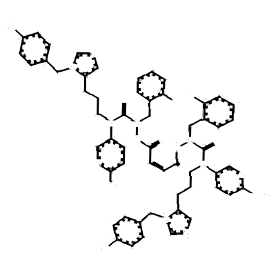 COc1ccc(N(CCCc2cncn2Cc2ccc(C#N)cc2)C(=S)N(Cc2ccccc2C(F)(F)F)OC(=O)/C=C\C(=O)ON(Cc2ccccc2C(F)(F)F)C(=S)N(CCCc2cncn2Cc2ccc(C#N)cc2)c2ccc(OC)nc2)cn1